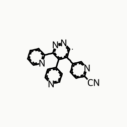 N#Cc1ccc(-c2[c]nnc(-c3ccccn3)c2-c2ccncc2)cn1